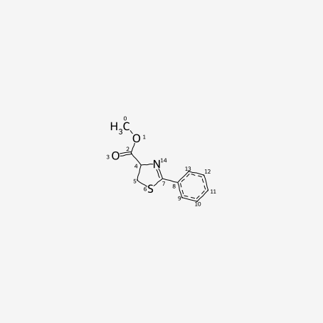 COC(=O)C1CSC(c2ccccc2)=N1